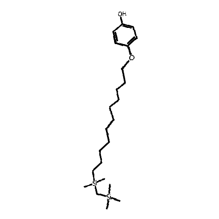 C[Si](C)(C)C[Si](C)(C)CCCCCCCCCCCOc1ccc(O)cc1